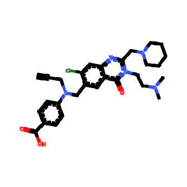 C#CCN(Cc1cc2c(=O)n(CCN(C)C)c(CN3CCCCC3)nc2cc1Cl)c1ccc(C(=O)O)cc1